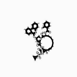 O=C(N[C@H]1CCCCCC=C[C@@H]2C[C@@]2(C(=O)NS(=O)(=O)C2CC2)NC(=O)[C@@H]2C[C@@H](Oc3nc4ccccc4c4ccccc34)CN2C1=O)c1ccccc1F